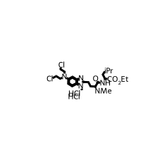 CCOC(=O)C(CC(C)C)NC(=O)C(CCc1nc2cc(N(CCCl)CCCl)ccc2n1C)NC.Cl.Cl